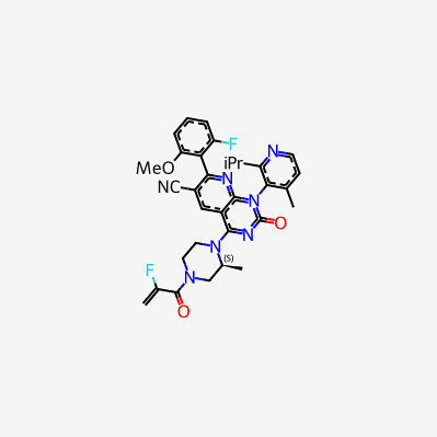 C=C(F)C(=O)N1CCN(c2nc(=O)n(-c3c(C)ccnc3C(C)C)c3nc(-c4c(F)cccc4OC)c(C#N)cc23)[C@@H](C)C1